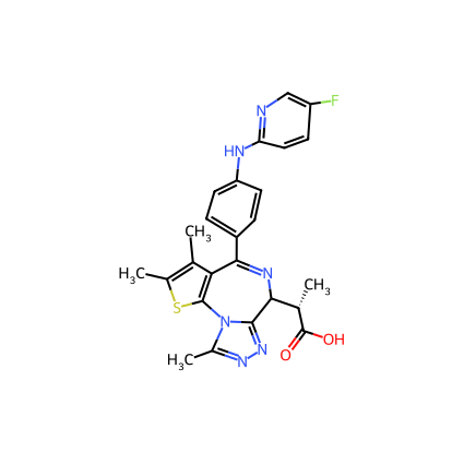 Cc1sc2c(c1C)C(c1ccc(Nc3ccc(F)cn3)cc1)=NC([C@H](C)C(=O)O)c1nnc(C)n1-2